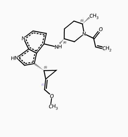 C=CC(=O)N1C[C@H](Nc2ccnc3[nH]cc([C@@H]4C/C4=C\OC)c23)CC[C@@H]1C